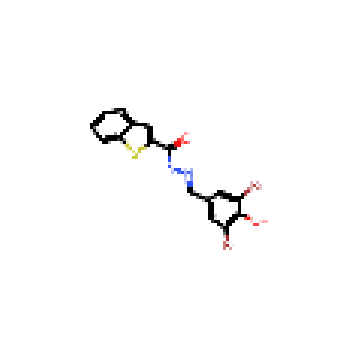 O=C(NN=Cc1cc(Br)c(O)c(Br)c1)c1cc2ccccc2s1